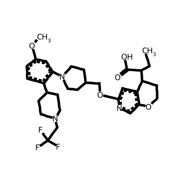 CCC(C(=O)O)C1CCOc2cnc(OCC3CCN(c4cc(OC)ccc4C4CCN(CC(F)(F)F)CC4)CC3)cc21